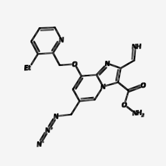 CCc1cccnc1COc1cc(CN=[N+]=[N-])cn2c(C(=O)ON)c(C=N)nc12